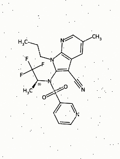 CCCn1c(N([C@@H](C)C(F)(F)F)S(=O)(=O)c2cccnc2)c(C#N)c2cc(C)cnc21